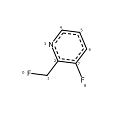 FCc1ncccc1F